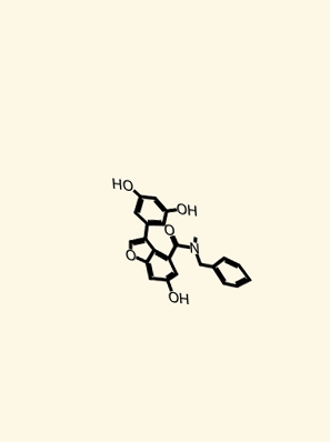 CN(Cc1ccccc1)C(=O)c1cc(O)cc2occ(-c3cc(O)cc(O)c3)c12